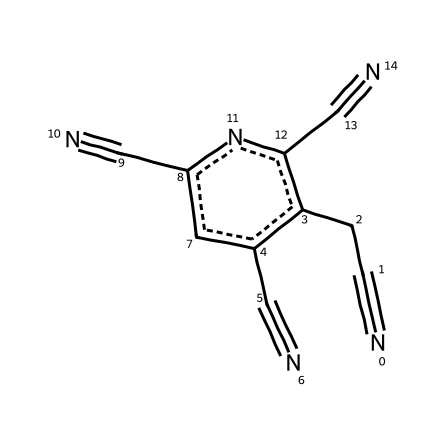 N#CCc1c(C#N)cc(C#N)nc1C#N